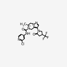 C[C@H]1Cn2ncc(N3CC(C(F)(F)F)CC3=O)c2CN1C(=O)Nc1ccnc(Cl)c1